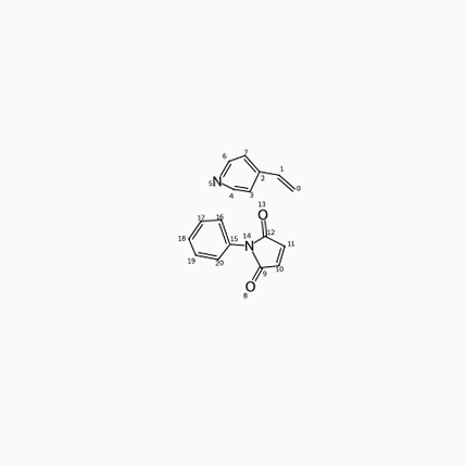 C=Cc1ccncc1.O=C1C=CC(=O)N1c1ccccc1